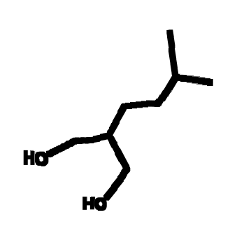 CC(C)CC[C](CO)CO